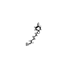 Cc1ccc(OCCCCCCBr)cc1